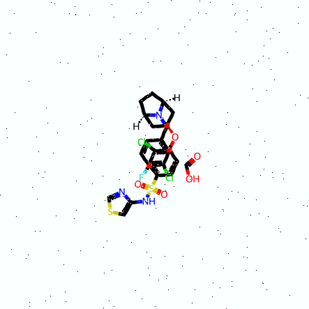 O=CO.O=S(=O)(Nc1cscn1)c1ccc(O[C@H]2C[C@H]3CC[C@@H](C2)N3Cc2ccc(F)c(Cl)c2)c(Cl)c1